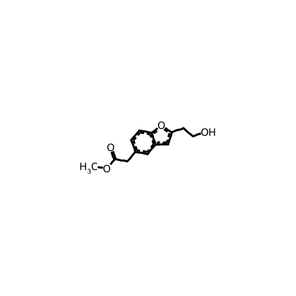 COC(=O)Cc1ccc2oc(CCO)cc2c1